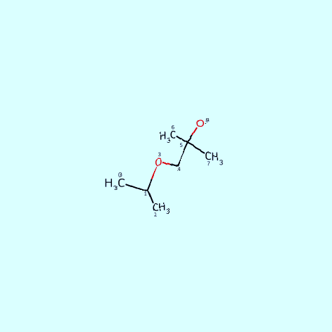 CC(C)OCC(C)(C)[O]